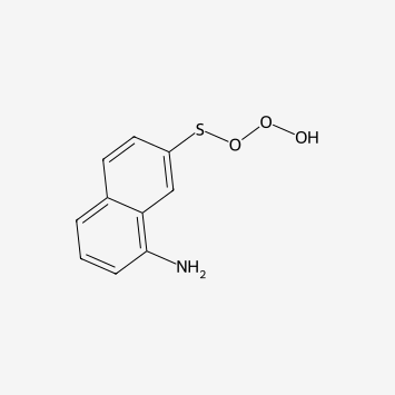 Nc1cccc2ccc(SOOO)cc12